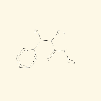 COC(=O)C(C)C(Br)c1ccccc1